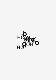 Cc1cn(-c2nc(-c3ccc(C)c(C)c3O)nc(-c3ccc(O)c(C)c3O)n2)nc1-c1ccccc1